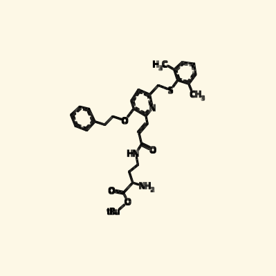 Cc1cccc(C)c1SCc1ccc(OCCc2ccccc2)c(/C=C/C(=O)NCCC(N)C(=O)OC(C)(C)C)n1